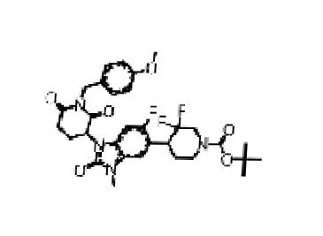 COc1ccc(CN2C(=O)CCC(n3c(=O)n(C)c4cc(C5CCN(C(=O)OC(C)(C)C)CC5(F)F)c(F)cc43)C2=O)cc1